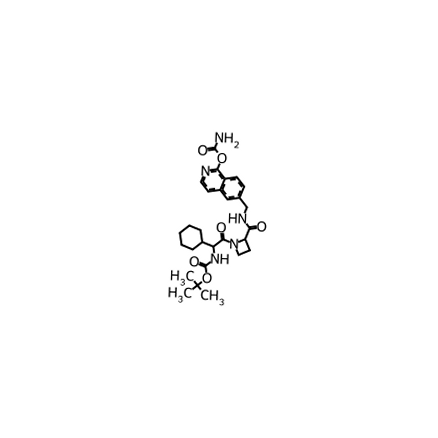 CC(C)(C)OC(=O)NC(C(=O)N1CCC1C(=O)NCc1ccc2c(OC(N)=O)nccc2c1)C1CCCCC1